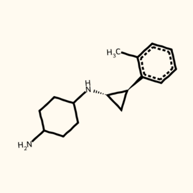 Cc1ccccc1[C@H]1C[C@@H]1NC1CCC(N)CC1